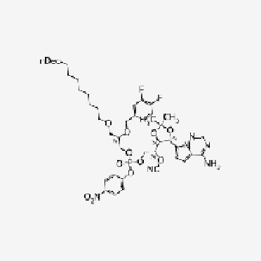 CCCCCCCCCCCCCCCCCCOC[C@H](COP(=O)(OC[C@@H](OC#N)[C@H]1OC(C)(C)O[C@H]1c1ccc2c(N)ncnn12)Oc1ccc([N+](=O)[O-])cc1)OCc1ccc(F)c(F)c1